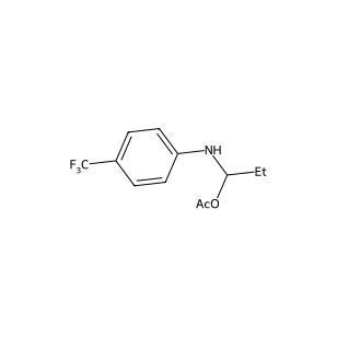 CCC(Nc1ccc(C(F)(F)F)cc1)OC(C)=O